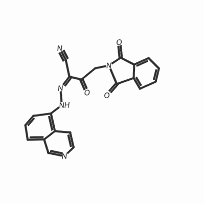 N#CC(=NNc1cccc2cnccc12)C(=O)CN1C(=O)c2ccccc2C1=O